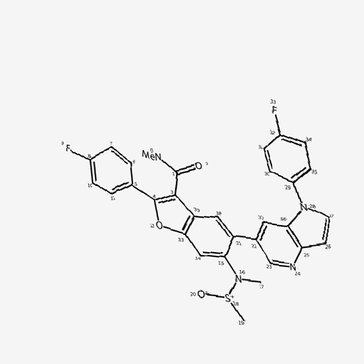 CNC(=O)c1c(-c2ccc(F)cc2)oc2cc(N(C)[S+](C)[O-])c(-c3cnc4ccn(-c5ccc(F)cc5)c4c3)cc12